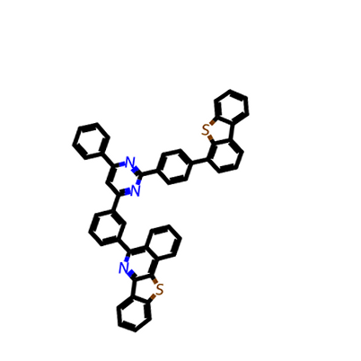 c1ccc(-c2cc(-c3cccc(-c4nc5c6ccccc6sc5c5ccccc45)c3)nc(-c3ccc(-c4cccc5c4sc4ccccc45)cc3)n2)cc1